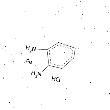 Cl.Nc1ccccc1N.[Fe]